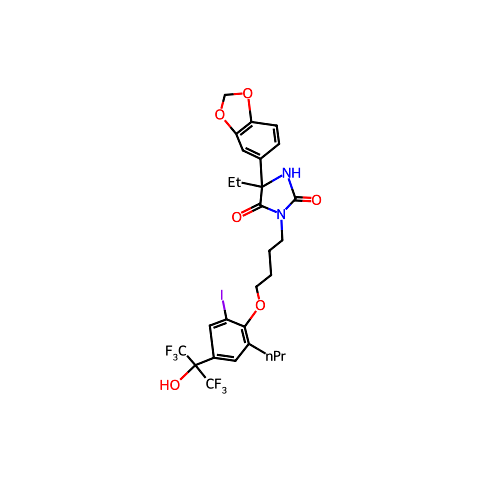 CCCc1cc(C(O)(C(F)(F)F)C(F)(F)F)cc(I)c1OCCCCN1C(=O)NC(CC)(c2ccc3c(c2)OCO3)C1=O